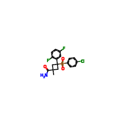 CC1(C(N)=O)CC(c2cc(F)ccc2F)(S(=O)(=O)c2ccc(Cl)cc2)C1